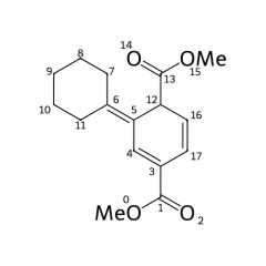 COC(=O)C1=CC(=C2CCCCC2)C(C(=O)OC)C=C1